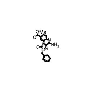 COC(=O)c1ccc2nc(N)c3nn(Cc4ccccc4)c(=O)n3c2c1